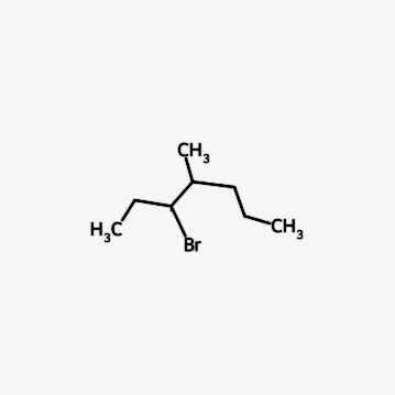 CCCC(C)[C](Br)CC